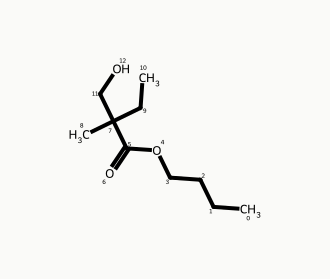 CCCCOC(=O)C(C)(CC)CO